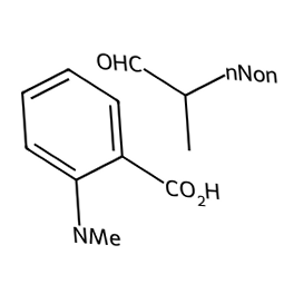 CCCCCCCCCC(C)C=O.CNc1ccccc1C(=O)O